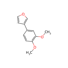 COc1ccc(-c2[c]coc2)cc1OC